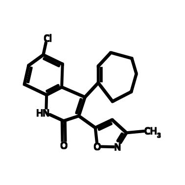 Cc1cc(-c2c(C3=CCCCCC3)c3cc(Cl)ccc3[nH]c2=O)on1